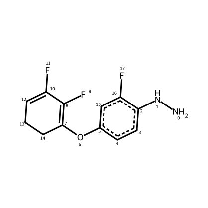 NNc1ccc(OC2=C(F)C(F)=CCC2)cc1F